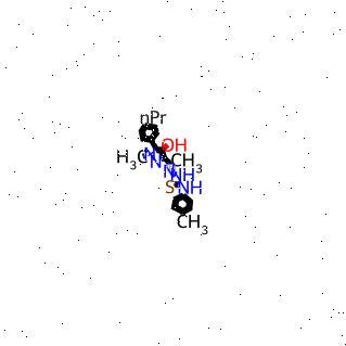 CCCc1ccc(-c2c(O)c(/C(C)=N/NC(=S)Nc3ccc(C)cc3)nn2C)cc1